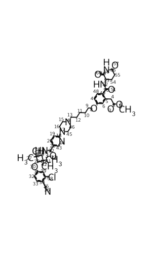 COC(=O)Cc1cc(OCCCCCN2CCN(c3ccc(C(=O)N[C@H]4C(C)(C)[C@H](Oc5ccc(C#N)c(Cl)c5)C4(C)C)cn3)CC2)ccc1C(=O)NC1CCC(=O)NC1=O